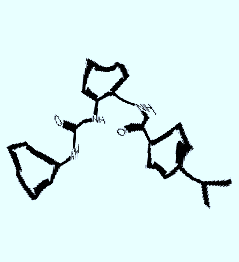 CC(C)c1ccc(C(=O)Nc2ccccc2NC(=O)Nc2ccccc2)cc1